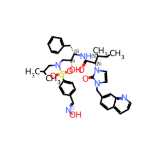 CC[C@H](C)[C@@H](C(=O)N[C@@H](Cc1ccccc1)[C@H](O)CN(CC(C)C)S(=O)(=O)c1ccc(/C=N/O)cc1)n1ccn(Cc2ccc3cccnc3c2)c1=O